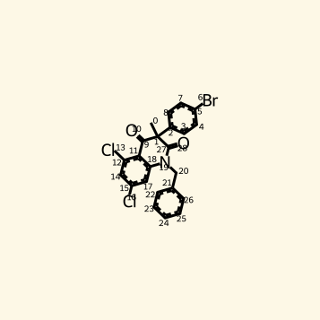 CC1(c2ccc(Br)cc2)C(=O)c2c(Cl)cc(Cl)cc2N(Cc2ccccc2)C1=O